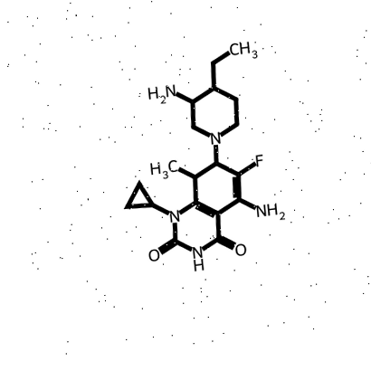 CCC1CCN(C2C(F)=C(N)c3c(n(C4CC4)c(=O)[nH]c3=O)C2C)CC1N